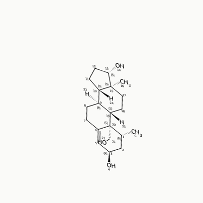 C[C@@H]1C[C@@H](O)C=C2CC[C@H]3[C@@H]4CC[C@H](O)[C@@]4(C)CC[C@@H]3[C@]21CO